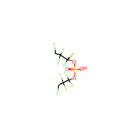 O=P(O)(OC(F)(F)C(F)(F)CF)OC(F)(F)C(F)(F)CF